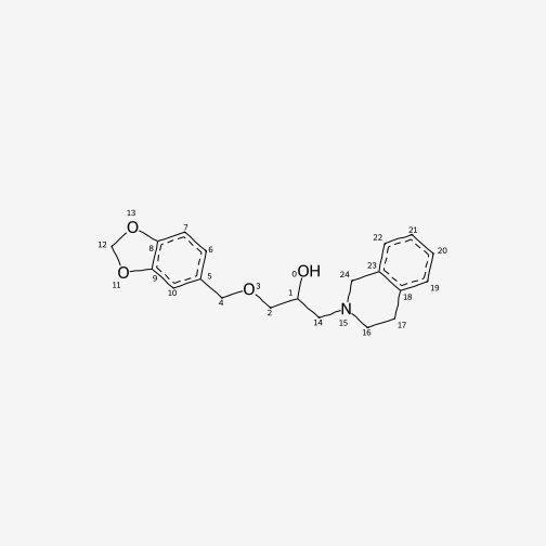 OC(COCc1ccc2c(c1)OCO2)CN1CCc2ccccc2C1